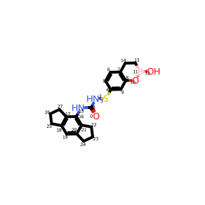 O=C(NSc1ccc2c(c1)OB(O)CC2)Nc1c2c(cc3c1CCC3)CCC2